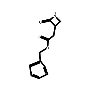 O=C(CC1CNC1=O)OCc1ccccc1